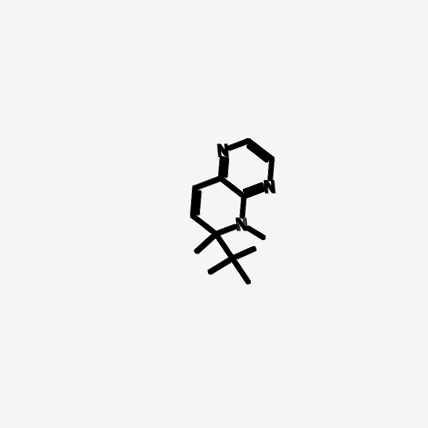 CN1c2nccnc2C=CC1(C)C(C)(C)C